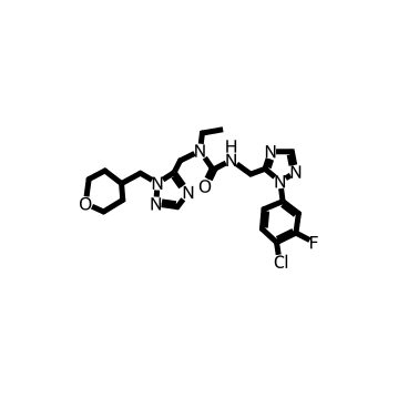 CCN(Cc1ncnn1CC1CCOCC1)C(=O)NCc1ncnn1-c1ccc(Cl)c(F)c1